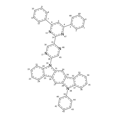 c1ccc(-c2cc(-c3ccccc3)nc(-c3cnc(-n4c5ccccc5c5cc6c(cc54)c4ccccc4n6-c4ccccc4)cn3)n2)cc1